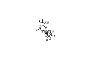 CC1=CC(C(=O)Cl)CC(B2OC(C)(C)C(C)(C)O2)=C1